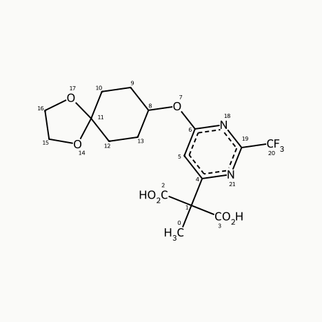 CC(C(=O)O)(C(=O)O)c1cc(OC2CCC3(CC2)OCCO3)nc(C(F)(F)F)n1